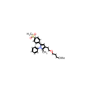 COCCCOCCc1cc(-c2ccc(S(C)(=O)=O)cc2)n(-c2ccccc2)c1C